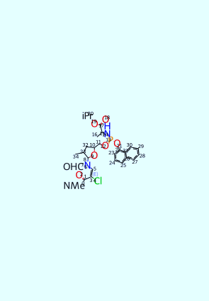 CNC(=O)/C(Cl)=C\N(C=O)C1OC(COP(NC(C)C(=O)OC(C)C)Oc2cccc3ccccc23)CC1C